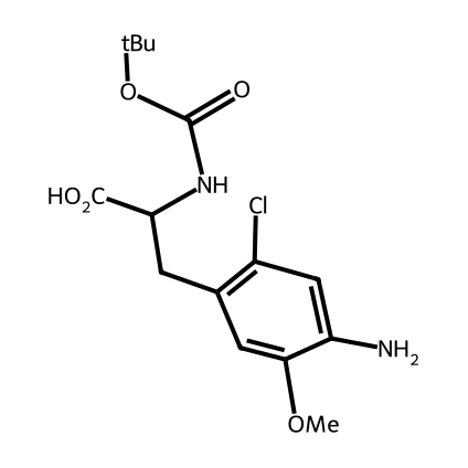 COc1cc(CC(NC(=O)OC(C)(C)C)C(=O)O)c(Cl)cc1N